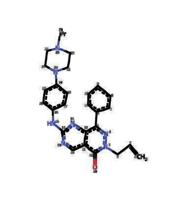 C=CCn1nc(-c2ccccc2)c2nc(Nc3ccc(N4CCN(C(C)C)CC4)cc3)ncc2c1=O